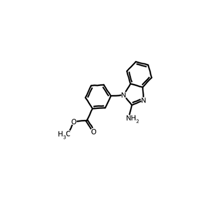 COC(=O)c1cccc(-n2c(N)nc3ccccc32)c1